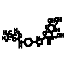 CC(C)(C)OC(=O)NC1CCC(c2nc(C(=O)N[C@@H](CO)C(=O)N[C@@H](CO)C(=O)O)cs2)CC1